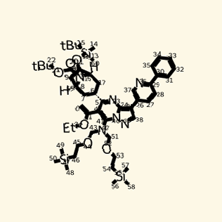 C=C(OCC)c1c([C@@H]2C[C@H]3CC(O[Si](C)(C)C(C)(C)C)[C@@H](C2)N3C(=O)OC(C)(C)C)nc2c(-c3ccc(-c4ccccc4)nc3)cnn2c1N(COCC[Si](C)(C)C)COCC[Si](C)(C)C